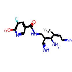 CC(=C/C=N)/C(N)=C(/C=N)CNC(=O)c1cnc(O)c(F)c1